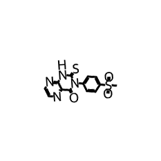 CS(=O)(=O)c1ccc(-n2c(=S)[nH]c3nccnc3c2=O)cc1